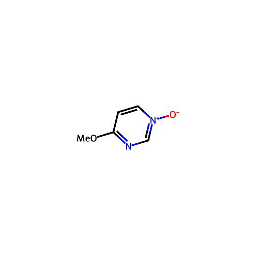 COc1cc[n+]([O-])cn1